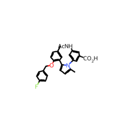 CC(=O)Nc1cc(C(=O)O)cc(-n2c(C)ccc2-c2cc(C)ccc2OCc2ccc(F)cc2)c1